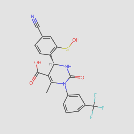 CC1=C(C(=O)O)[C@@H](c2ccc(C#N)cc2SO)NC(=O)N1c1cccc(C(F)(F)F)c1